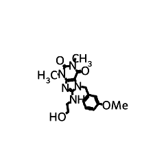 COc1cccc(Cn2c(NCCO)nc3c2c(=O)n(C)c(=O)n3C)c1